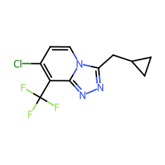 FC(F)(F)c1c(Cl)ccn2c(CC3CC3)nnc12